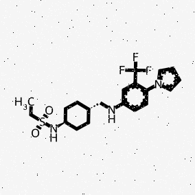 CCS(=O)(=O)N[C@H]1CC[C@H](CNc2ccc(-n3cccc3)c(C(F)(F)F)c2)CC1